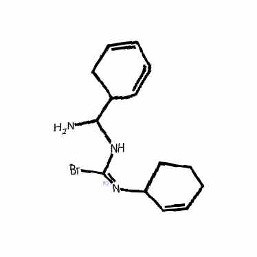 NC(N/C(Br)=N\C1C=CCCC1)C1C=CC=CC1